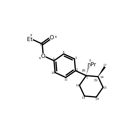 CCC[C@@]1(c2ccc(OC(=O)CC)cc2)CCCC[C@@H]1C